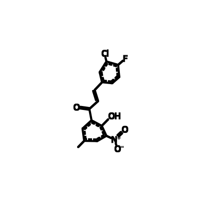 Cc1cc(C(=O)C=Cc2ccc(F)c(Cl)c2)c(O)c([N+](=O)[O-])c1